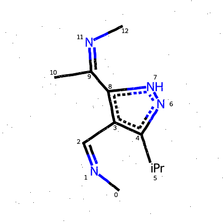 C/N=C\c1c(C(C)C)n[nH]c1/C(C)=N\C